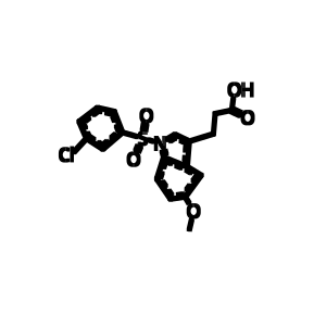 COc1ccc2c(c1)c(CCC(=O)O)cn2S(=O)(=O)c1cccc(Cl)c1